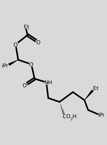 CCC(=O)O[C@@H](OC(=O)NC[C@H](C[C@@H](CC)CC(C)C)C(=O)O)C(C)C